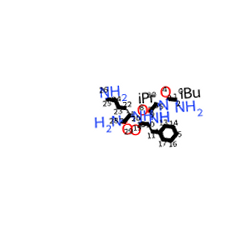 CC[C@H](C)[C@H](N)C(=O)N[C@H](C(=O)N[C@@H](CC1CCCCC1)C(=O)N[C@@H](CCCCN)C(N)=O)C(C)C